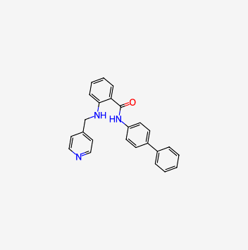 O=C(Nc1ccc(-c2ccccc2)cc1)c1ccccc1NCc1ccncc1